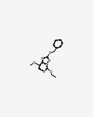 CCOc1ncc(OC)c2nc(SCc3ccccc3)nn12